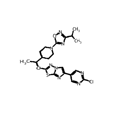 CC(C)c1noc(N2CCC(C(C)Oc3nn4cc(-c5cnc(Cl)nc5)nc4s3)CC2)n1